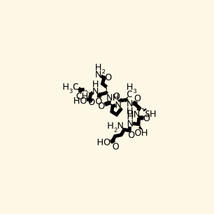 CC(C)C[C@H](NC(=O)[C@H](CCC(N)=O)NC(=O)[C@@H]1CCCN1C(=O)[C@H](C)NC(=O)[C@H](CS)NC(=O)[C@H](CO)NC(=O)[C@@H](N)CCC(=O)O)C(=O)O